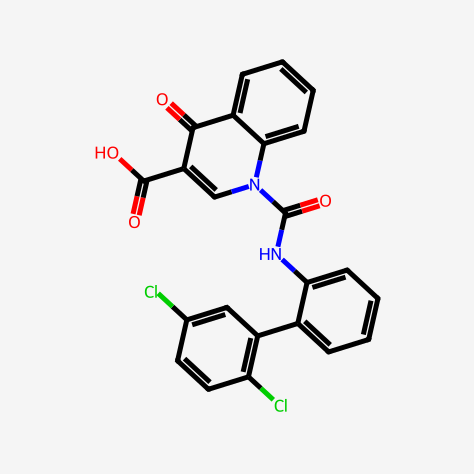 O=C(O)c1cn(C(=O)Nc2ccccc2-c2cc(Cl)ccc2Cl)c2ccccc2c1=O